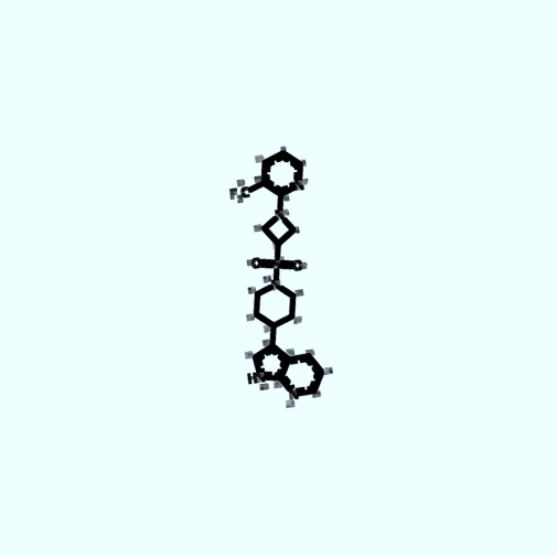 O=S(=O)(C1CN(c2ncccc2C(F)(F)F)C1)N1CCC(c2c[nH]c3ncccc23)CC1